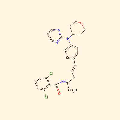 O=C(NC(C/C=C/c1ccc(N(c2ncccn2)C2CCOCC2)cc1)C(=O)O)c1c(Cl)cccc1Cl